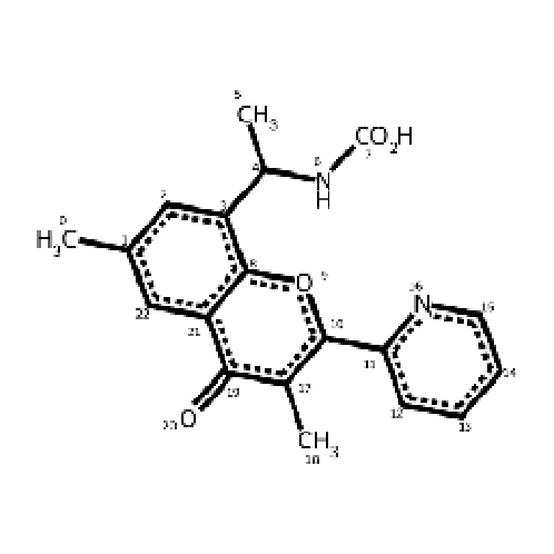 Cc1cc(C(C)NC(=O)O)c2oc(-c3ccccn3)c(C)c(=O)c2c1